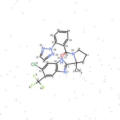 CC1(c2nc3cc(C(F)(F)F)c(Cl)cc3[nH]2)CCCN1C(=O)c1ccccc1-n1nccn1